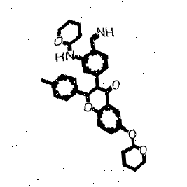 Cc1ccc(C2Oc3ccc(OC4CCCCO4)cc3C(=O)C2c2ccc(C=N)c(NC3CCCCO3)c2)cc1